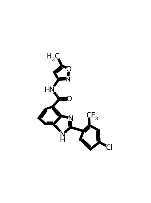 Cc1cc(NC(=O)c2cccc3[nH]c(-c4ccc(Cl)cc4C(F)(F)F)nc23)no1